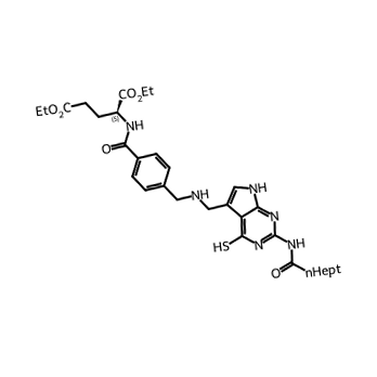 CCCCCCCC(=O)Nc1nc(S)c2c(CNCc3ccc(C(=O)N[C@@H](CCC(=O)OCC)C(=O)OCC)cc3)c[nH]c2n1